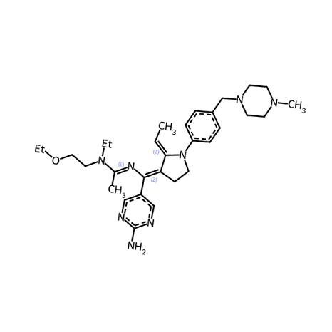 C/C=C1/C(=C(\N=C(/C)N(CC)CCOCC)c2cnc(N)nc2)CCN1c1ccc(CN2CCN(C)CC2)cc1